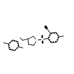 N#Cc1cc(Cl)ccc1S(=O)(=O)N1C[C@H](Oc2ccc(Cl)cc2)[C@@](O)(CO)C1